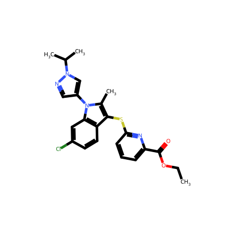 CCOC(=O)c1cccc(Sc2c(C)n(-c3cnn(C(C)C)c3)c3cc(Cl)ccc23)n1